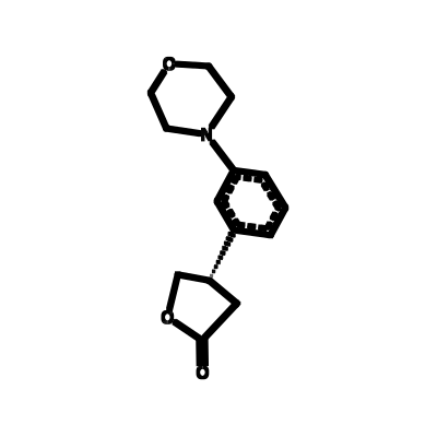 O=C1C[C@@H](c2cccc(N3CCOCC3)c2)CO1